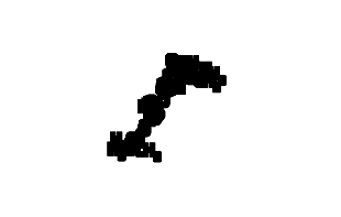 CC(C)(C)OC(=O)NC(Cc1ccc(Oc2ccnc3c2ccn3COCC[Si](C)(C)C)cc1)C(=O)O